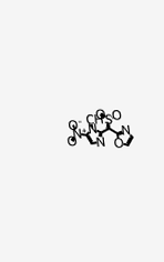 Cn1c([N+](=O)[O-])cnc1C(c1ncco1)=S(=O)=O